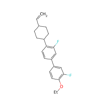 C=CC1CCC(c2ccc(-c3ccc(OCC)c(F)c3)cc2F)CC1